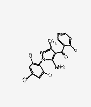 CNc1c(C(=O)c2ccccc2Cl)c(C)nn1-c1c(Cl)cc(Cl)cc1Cl